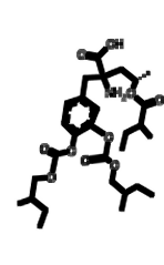 CCC(C)COC(=O)Oc1ccc(CC(N)(C[C@H](C)OC(=O)C(C)CC)C(=O)O)cc1OC(=O)OCC(C)CC